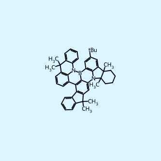 CC(C)(C)c1cc2c3c(c1)C1(C)CCCCC1(C)N3c1cc3c(c4c1B2N1c2ccccc2C(C)(C)c2cccc-4c21)-c1ccccc1C3(C)C